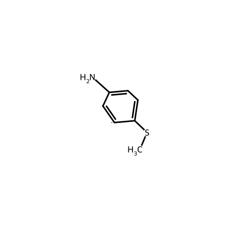 CSc1[c]cc(N)cc1